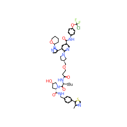 Cc1ncsc1-c1ccc(CNC(=O)[C@@H]2C[C@@H](O)CN2C(=O)C(NC(=O)CCOC[C@H]2CCN(c3ncc(C(=O)Nc4ccc(OC(F)(F)Cl)cc4)cc3-c3ccnn3C3CCCCO3)C2)C(C)(C)C)cc1